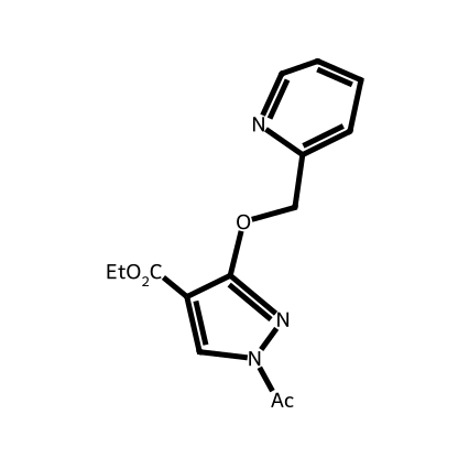 CCOC(=O)c1cn(C(C)=O)nc1OCc1ccccn1